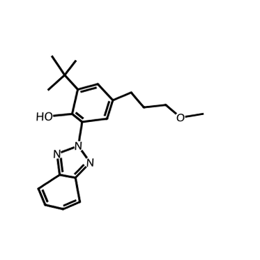 COCCCc1cc(-n2nc3ccccc3n2)c(O)c(C(C)(C)C)c1